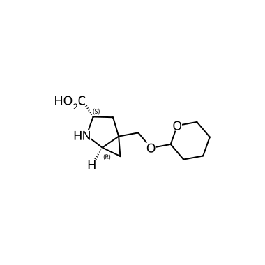 O=C(O)[C@@H]1CC2(COC3CCCCO3)C[C@H]2N1